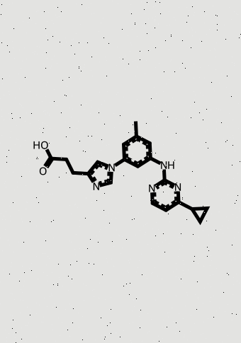 Cc1cc(Nc2nccc(C3CC3)n2)cc(-n2cnc(CCC(=O)O)c2)c1